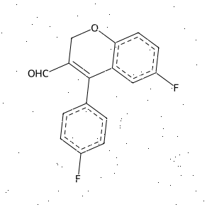 O=CC1=C(c2ccc(F)cc2)c2cc(F)ccc2OC1